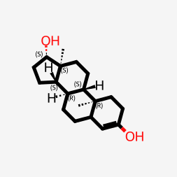 C[C@]12CC[C@H]3[C@@H](CCC4C=C(O)CC[C@@]43C)[C@@H]1CC[C@@H]2O